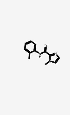 Cc1ccccc1NC(=O)c1nccn1C